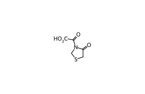 O=C(O)C(=O)N1CSCC1=O